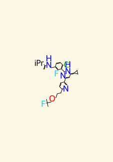 C=C(NCc1ccc(Cl)c(C2=NC(c3ccc(CCCOCC(C)(C)F)nc3)=CC(=C3CC3)N2)c1F)C(C)C